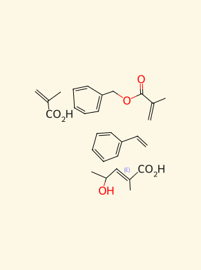 C/C(=C\C(C)O)C(=O)O.C=C(C)C(=O)O.C=C(C)C(=O)OCc1ccccc1.C=Cc1ccccc1